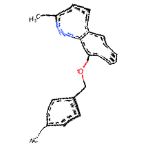 Cc1ccc2cccc(OCc3ccc(C#N)cc3)c2n1